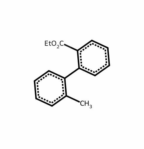 CCOC(=O)c1ccccc1-c1ccccc1C